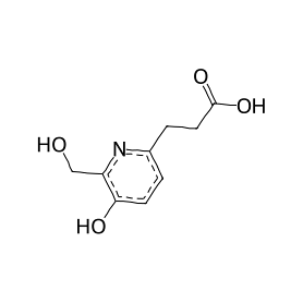 O=C(O)CCc1ccc(O)c(CO)n1